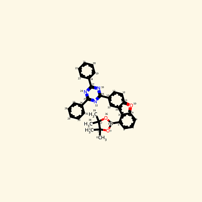 CC1(C)OB(c2cccc3oc4ccc(-c5nc(-c6ccccc6)nc(-c6ccccc6)n5)cc4c23)OC1(C)C